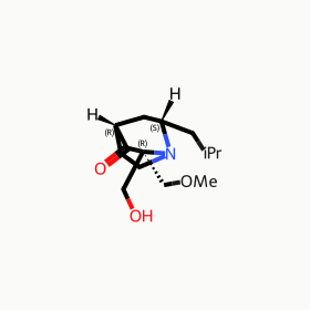 COC[C@]1(CO)C(=O)[C@@H]2CCN1[C@@H](CC(C)C)C2